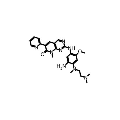 COc1cc(N(C)CCN(C)C)c(N)cc1Nc1ncc2cc(-c3ccccn3)c(=O)n(C)c2n1